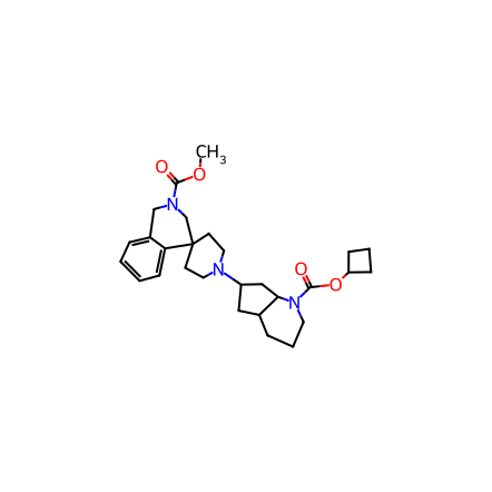 COC(=O)N1Cc2ccccc2C2(CCN(C3CC4CCCN(C(=O)OC5CCC5)C4C3)CC2)C1